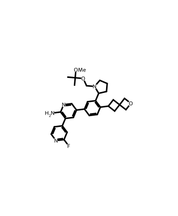 COC(C)(C)OCN1CCCC1c1cc(-c2cnc(N)c(-c3ccnc(F)c3)c2)ccc1C1CC2(COC2)C1